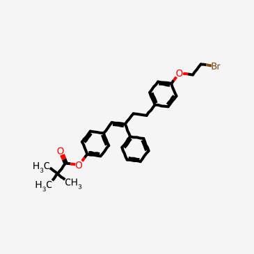 CC(C)(C)C(=O)Oc1ccc(C=C(CCc2ccc(OCCBr)cc2)c2ccccc2)cc1